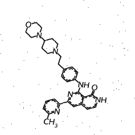 Cc1cccc(-c2cc3cc[nH]c(=O)c3c(Nc3ccc(CCN4CCC(N5CCOCC5)CC4)cc3)n2)n1